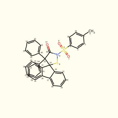 Cc1ccc(S(=O)(=O)N2SC3(c4ccccc4-c4ccccc43)C(c3ccccc3)(c3ccccc3)C2=O)cc1